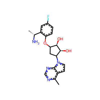 Cc1ncnc2c1ccn2C1CC(Oc2ccc(F)cc2[C@@H](C)N)[C@@H](O)[C@H]1O